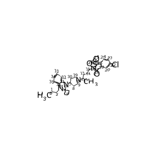 CCCn1c(=O)n(C2CCN(C(C)CCCN3C(=O)c4cc(Cl)ccc4S3(=O)=O)CC2)c2ccccc21